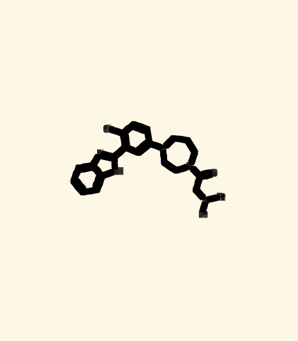 CCN(CC)CC(=O)N1CCCN(c2ccc(Cl)c(-c3nc4ccccc4[nH]3)c2)CC1